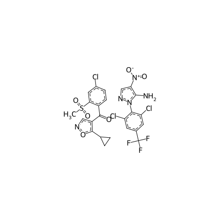 CS(=O)(=O)c1cc(Cl)ccc1C(=O)c1cnoc1C1CC1.Nc1c([N+](=O)[O-])cnn1-c1c(Cl)cc(C(F)(F)F)cc1Cl